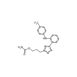 NC(=O)OCCCn1nnc(-c2ccccc2Nc2ccc(C(F)(F)F)cc2)n1